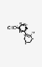 C[C@@H]1CCCCN1c1cncc(C=O)n1